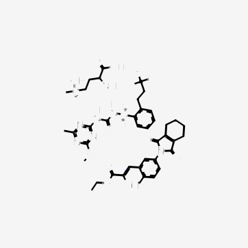 CCOC(=O)/C(Cl)=C/c1cc(N2C(=O)C3=C(CCCC3)C2=O)ccc1Cl.COc1nc(C)nc(NC(=O)NS(=O)(=O)c2ccccc2CCC(F)(F)F)n1.CP(=O)(O)CCC(N)C(=O)O